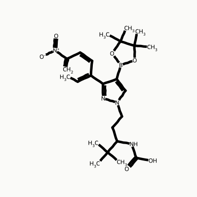 C=C(/C=C\C(=C/C)c1nn(CCC(NC(=O)O)C(C)(C)C)cc1B1OC(C)(C)C(C)(C)O1)[N+](=O)[O-]